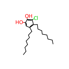 CCCCCCCCc1cc(O)c(O)c(Cl)c1CCCCCCCC